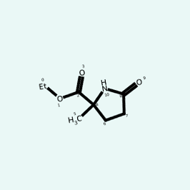 CCOC(=O)C1(C)CCC(=O)N1